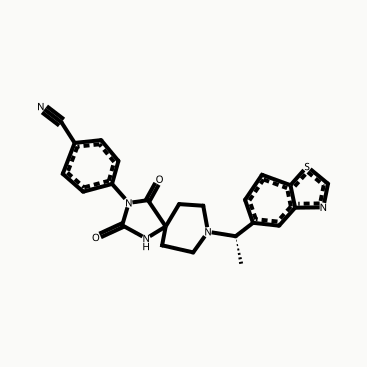 C[C@@H](c1ccc2scnc2c1)N1CCC2(CC1)NC(=O)N(c1ccc(C#N)cc1)C2=O